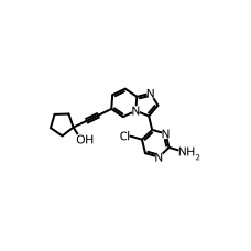 Nc1ncc(Cl)c(-c2cnc3ccc(C#CC4(O)CCCC4)cn23)n1